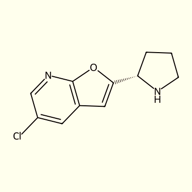 Clc1cnc2oc([C@@H]3CCCN3)cc2c1